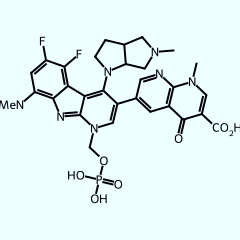 CNc1cc(F)c(F)c2c3c(N4CCC5CN(C)CC54)c(-c4cnc5c(c4)c(=O)c(C(=O)O)cn5C)cn(COP(=O)(O)O)c-3nc12